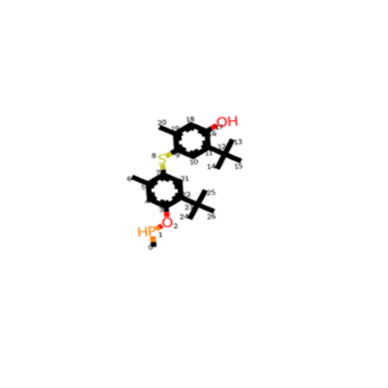 CPOc1cc(C)c(Sc2cc(C(C)(C)C)c(O)cc2C)cc1C(C)(C)C